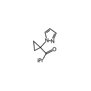 CC(C)C(=O)C1(n2cccn2)CC1